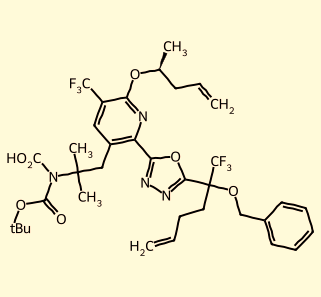 C=CCCC(OCc1ccccc1)(c1nnc(-c2nc(O[C@@H](C)CC=C)c(C(F)(F)F)cc2CC(C)(C)N(C(=O)O)C(=O)OC(C)(C)C)o1)C(F)(F)F